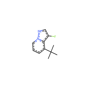 CC(C)(C)c1cccn2ncc(F)c12